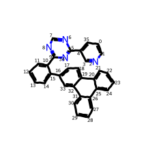 c1cncc(-c2ncnc(-c3ccccc3-c3ccc4c5ccccc5c5ccccc5c4c3)n2)c1